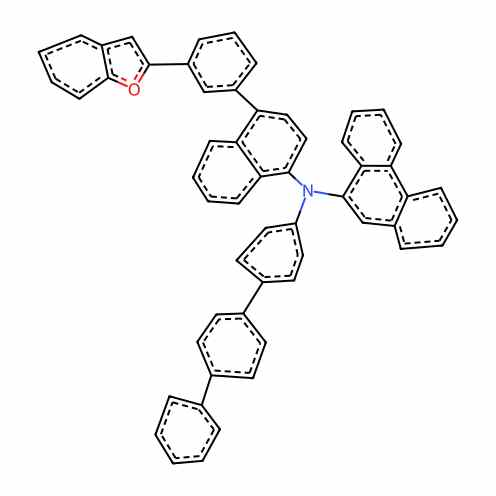 c1ccc(-c2ccc(-c3ccc(N(c4ccc(-c5cccc(-c6cc7ccccc7o6)c5)c5ccccc45)c4cc5ccccc5c5ccccc45)cc3)cc2)cc1